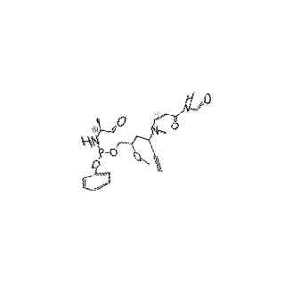 C#CC(CC(COP(N[C@@H](C)C=O)Oc1ccccc1)OC)N(C)/C=C\C(=O)NC=O